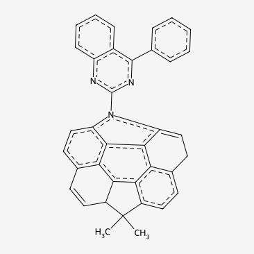 CC1(C)c2ccc3c4c2c2c5c(ccc6c5c4c(n6-c4nc(-c5ccccc5)c5ccccc5n4)=CC3)C=CC21